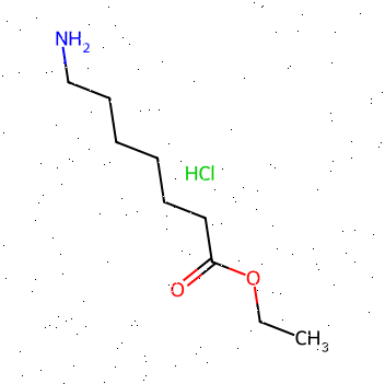 CCOC(=O)CCCCCCN.Cl